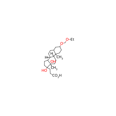 CCOCOC1CC[C@@]2(C)C(CC[C@@H]3[C@H]2CC[C@]2(C)C(O)(CCC(=O)O)CC[C@@]32O)C1